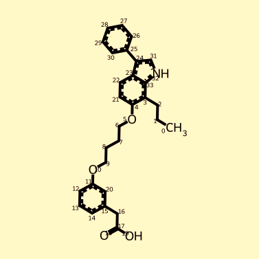 CCCc1c(OCCCCOc2cccc(CC(=O)O)c2)ccc2c(-c3ccccc3)c[nH]c12